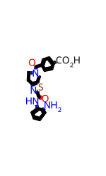 Nc1ccccc1NC(=O)c1nc2c(s1)CN(C(=O)c1ccc(C(=O)O)cc1)CC2